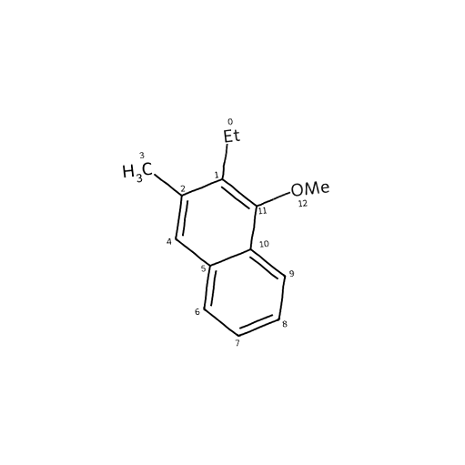 CCc1c(C)cc2ccccc2c1OC